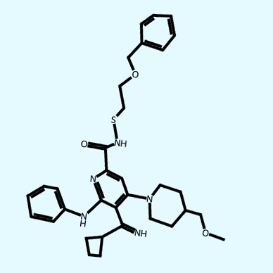 COCC1CCN(c2cc(C(=O)NSCCOCc3ccccc3)nc(Nc3ccccc3)c2C(=N)C2CCC2)CC1